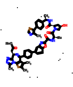 COC(=O)C[C@@H]1N=C(c2ccc(-c3ccc4oc(C(=O)N[C@H](C(=O)N5C[C@H](O)C[C@H]5C(=O)N[C@@H](C)c5ccc(-c6scnc6C)cc5)C(C)(C)C)nc4c3)cc2)c2c(sc(C)c2C)-n2c(C)nnc21